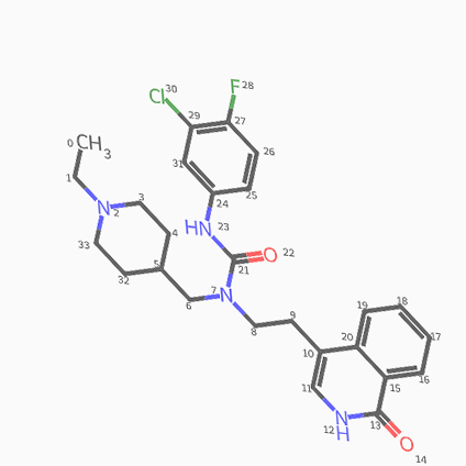 CCN1CCC(CN(CCc2c[nH]c(=O)c3ccccc23)C(=O)Nc2ccc(F)c(Cl)c2)CC1